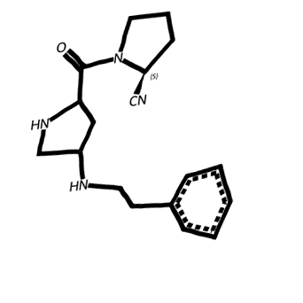 N#C[C@@H]1CCCN1C(=O)C1CC(NCCc2ccccc2)CN1